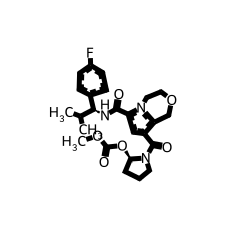 COC(=O)O[C@@H]1CCCN1C(=O)c1cc(C(=O)N[C@@H](c2ccc(F)cc2)C(C)C)n2c1COCC2